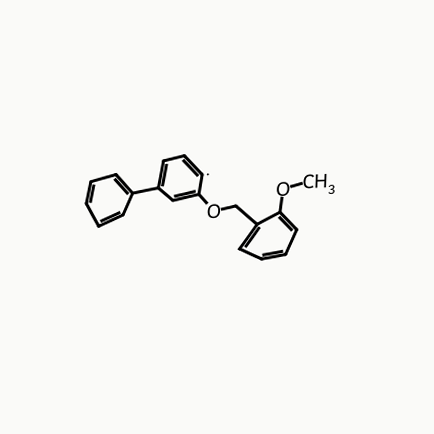 COc1ccccc1COc1[c]ccc(-c2ccccc2)c1